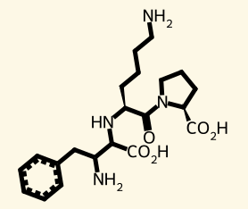 NCCCC[C@H](NC(C(=O)O)C(N)Cc1ccccc1)C(=O)N1CCC[C@H]1C(=O)O